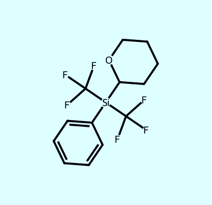 FC(F)(F)[Si](c1ccccc1)(C1CCCCO1)C(F)(F)F